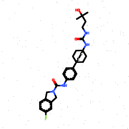 CC(C)(O)CCNC(=O)NC12CCC(c3ccc(NC(=O)N4Cc5ccc(F)cc5C4)cc3)(CC1)CC2